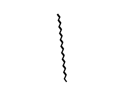 C=CC=CC=CC=CC=CC=CC=CC=CC=CC=CCC